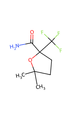 CC1(C)CCC(C(N)=O)(C(F)(F)F)O1